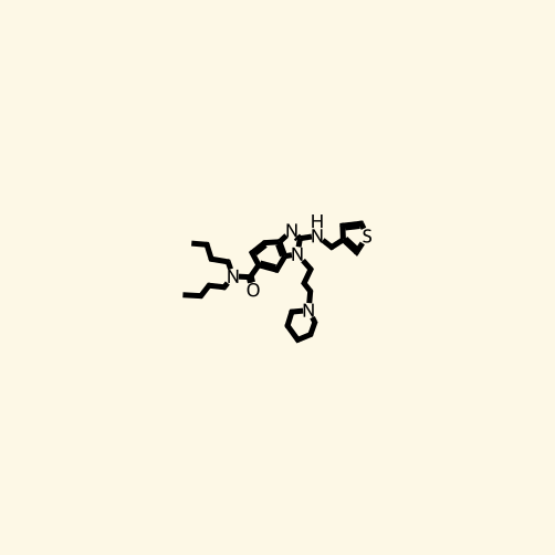 CCCCN(CCCC)C(=O)c1ccc2nc(NCc3ccsc3)n(CCCN3CCCCC3)c2c1